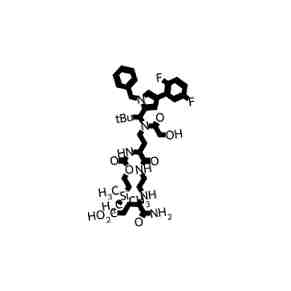 CC(C)(C)C(c1cc(-c2cc(F)ccc2F)cn1Cc1ccccc1)N(CCC(NC(=O)OCC[Si](C)(C)C)C(=O)NCCNC(CCC(=O)O)C(N)=O)C(=O)CO